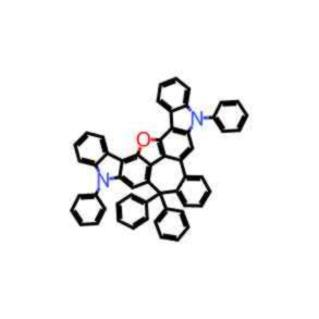 c1ccc(-n2c3ccccc3c3c4oc5c6c(cc7c5c5ccccc5n7-c5ccccc5)C(c5ccccc5)(c5ccccc5)c5ccccc5-c(cc32)c46)cc1